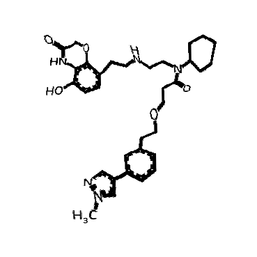 Cn1cc(-c2cccc(CCOCCC(=O)N(CCNCCc3ccc(O)c4c3OCC(=O)N4)C3CCCCC3)c2)cn1